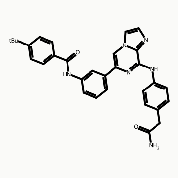 CC(C)(C)c1ccc(C(=O)Nc2cccc(-c3cn4ccnc4c(Nc4ccc(CC(N)=O)cc4)n3)c2)cc1